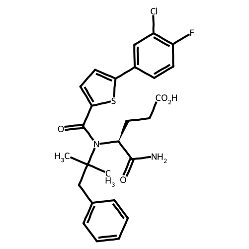 CC(C)(Cc1ccccc1)N(C(=O)c1ccc(-c2ccc(F)c(Cl)c2)s1)[C@@H](CCC(=O)O)C(N)=O